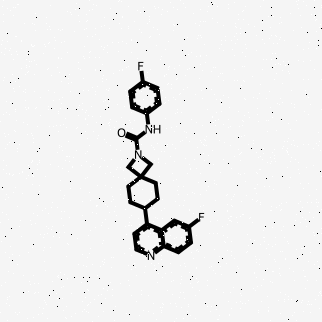 O=C(Nc1ccc(F)cc1)N1CC2(CCC(c3ccnc4ccc(F)cc34)CC2)C1